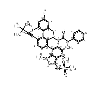 CC(C(=O)N[C@@H](Cc1cc(F)cc(F)c1)c1nc(C#CC(C)(C)O)ccc1-c1ccc(Cl)c2c(NS(C)(=O)=O)nn(C)c12)c1ccccc1